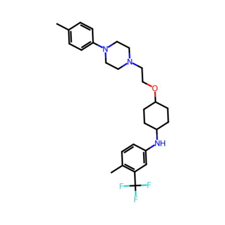 Cc1ccc(N2CCN(CCOC3CCC(Nc4ccc(C)c(C(F)(F)F)c4)CC3)CC2)cc1